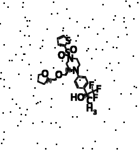 C[C@@](O)(c1ccc(N2CCN(S(=O)(=O)c3cccs3)C[C@@H]2COC[C@H]2CCCO2)cc1)C(F)(F)F